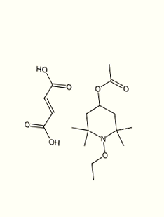 CCON1C(C)(C)CC(OC(C)=O)CC1(C)C.O=C(O)C=CC(=O)O